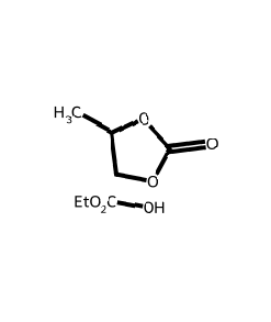 CC1COC(=O)O1.CCOC(=O)O